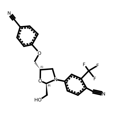 N#Cc1ccc(OC[C@@H]2CN(c3ccc(C#N)c(C(F)(F)F)c3)[C@@H](CO)O2)cc1